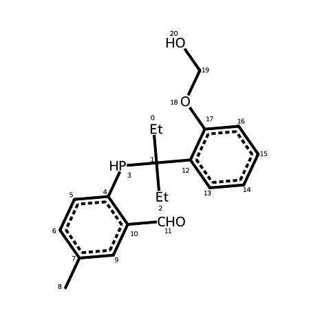 CCC(CC)(Pc1ccc(C)cc1C=O)c1ccccc1OCO